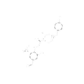 COc1cc(C=O)cc([N+](=O)[O-])c1OCC(=O)N1C[C@@H](C)N(Cc2ccc(F)cc2)C[C@@H]1C